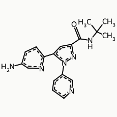 CC(C)(C)NC(=O)c1cc(-c2ccc(N)cn2)n(-c2cccnc2)n1